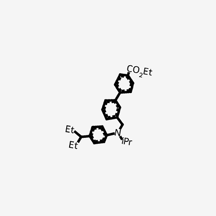 CCOC(=O)c1ccc(-c2cccc(CN(c3ccc(C(CC)CC)cc3)C(C)C)c2)cc1